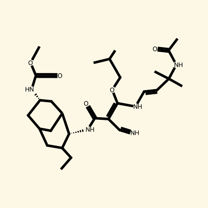 CCC1CC2CC(C[C@@H](NC(=O)OC)C2)[C@@H]1NC(=O)/C(C=N)=C(/N/C=C/C(C)(C)NC(C)=O)OCC(C)C